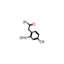 CC(C)C(=O)Cc1ccc(C#N)cc1C=O